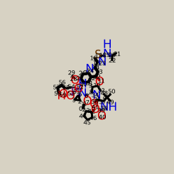 C=C[C@@H]1C[C@]1(NC(=O)[C@@H]1C[C@@H](Oc2cc(-c3csc(NC(C)C)n3)nc3cc(OC)ccc23)CN1C(=O)[C@@H](NC(=O)OC1CCCC1)C(C)(C)C)P(=O)(O)Cc1ccco1